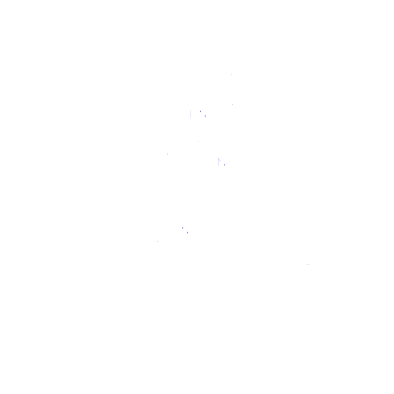 [CH2]CC=C(C)C1CN(C(c2ccccc2)(c2ccccc2)c2ccccc2)CC(n2cc(C)c(=O)[nH]c2=O)O1